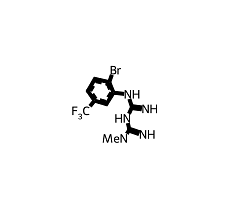 CNC(=N)NC(=N)Nc1cc(C(F)(F)F)ccc1Br